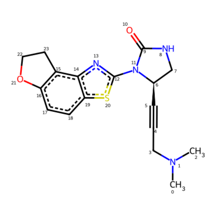 CN(C)CC#C[C@@H]1CNC(=O)N1c1nc2c3c(ccc2s1)OCC3